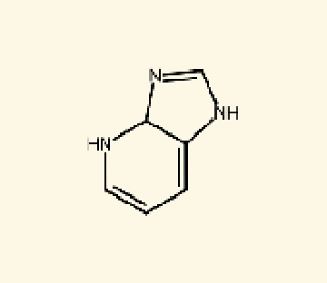 C1=CNC2N=CNC2=C1